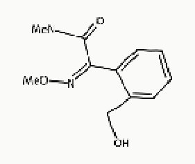 CNC(=O)C(=NOC)c1ccccc1CO